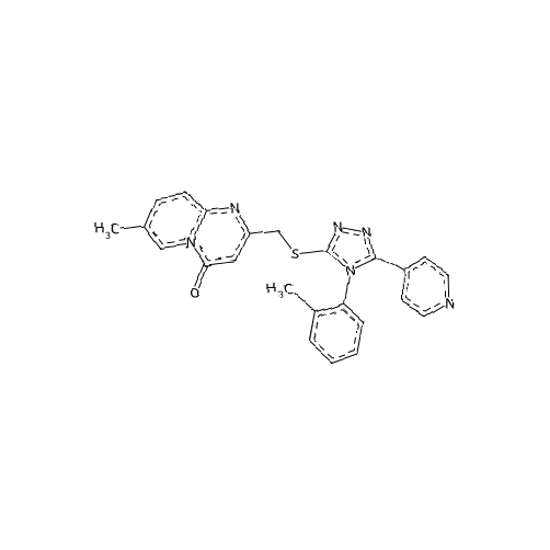 Cc1ccc2nc(CSc3nnc(-c4ccncc4)n3-c3ccccc3C)cc(=O)n2c1